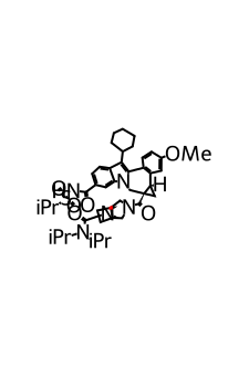 COc1ccc2c(c1)[C@@H]1C[C@]1(C(=O)N1CC34CCC3(CN(C(=O)N(C(C)C)C(C)C)C4)C1)Cn1c-2c(C2CCCCC2)c2ccc(C(=O)NS(=O)(=O)C(C)C)cc21